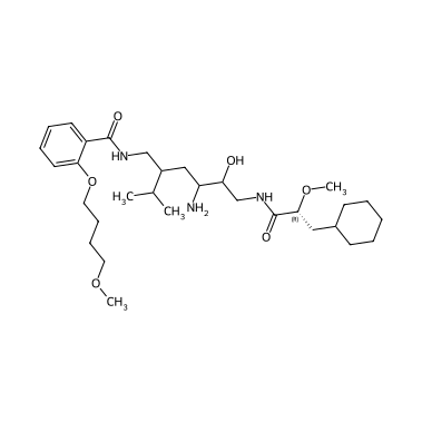 COCCCCOc1ccccc1C(=O)NCC(CC(N)C(O)CNC(=O)[C@@H](CC1CCCCC1)OC)C(C)C